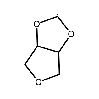 [CH]1OC2COCC2O1